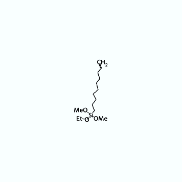 C=CCCCCCCCC[Si](OC)(OC)OCC